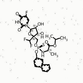 CC(C)OC(=O)[C@H](C)NP(=S)(OC[C@@]1(C(F)F)O[C@@H](n2cc(F)c(=O)[nH]c2=O)[C@@H](O)[C@@H]1O)Oc1ccc2ccccc2c1